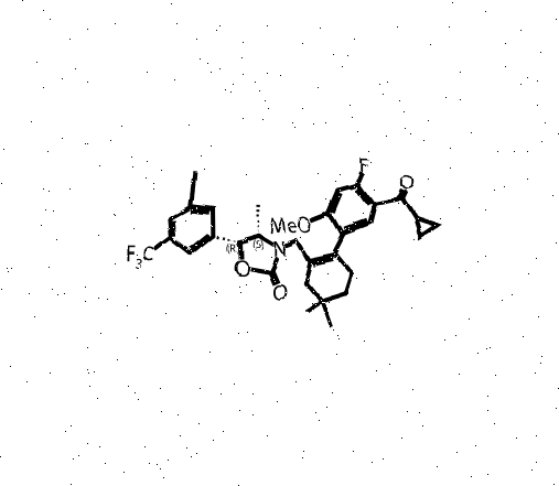 COc1cc(F)c(C(=O)C2CC2)cc1C1=C(CN2C(=O)O[C@H](c3cc(C)cc(C(F)(F)F)c3)[C@@H]2C)CC(C)(C)CC1